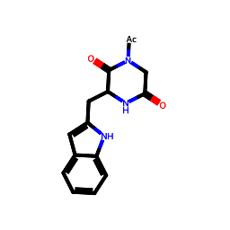 CC(=O)N1CC(=O)NC(Cc2cc3ccccc3[nH]2)C1=O